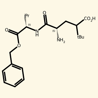 CC(C)[C@H](NC(=O)[C@@H](N)CC(C(=O)O)C(C)(C)C)C(=O)OCc1ccccc1